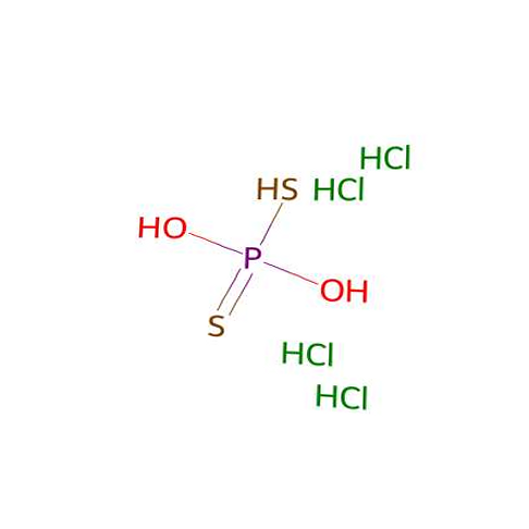 Cl.Cl.Cl.Cl.OP(O)(=S)S